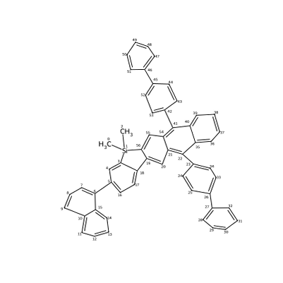 C[Si]1(C)c2cc(-c3cccc4ccccc34)ccc2-c2cc3c(-c4ccc(-c5ccccc5)cc4)c4ccccc4c(-c4ccc(-c5ccccc5)cc4)c3cc21